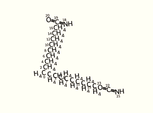 C.C.C.C.C.C.C.C.C.C.C.C.C.C.C.C.C.C.N=C=O.N=C=O